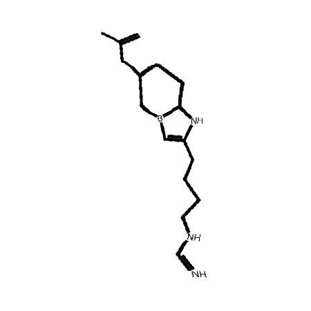 C=C(C)CC1CCC2NC(CCCCNC=N)=CB2C1